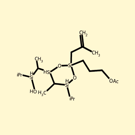 C=C(C)C[Si]1(CCCOC(C)=O)O[SiH](C(C)C)C(C)[SiH](C(C)[SiH](O)C(C)C)O1